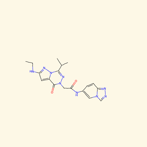 CCNc1cc2c(=O)n(CC(=O)Nc3ccc4nncn4c3)nc(C(C)C)n2n1